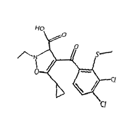 CCN1OC(C2CC2)=C(C(=O)c2ccc(Cl)c(Cl)c2SC)C1C(=O)O